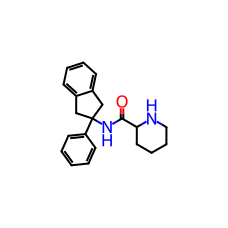 O=C(NC1(c2ccccc2)Cc2ccccc2C1)C1CCCCN1